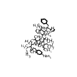 CCC(CC)[C@@H]([C@@H](CC(=O)N1CCC[C@H]1[C@H](OC)[C@@H](C)C(=O)N[C@@H](Cc1ccccc1)c1nccs1)OC)N(C)C(=O)[C@@H](NC(=O)[C@H](C(C)C)N(C)Cc1ccc(N)cc1)C(C)C